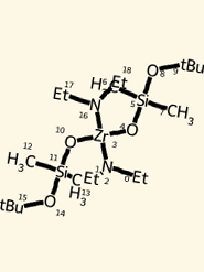 CC[N](CC)[Zr]([O][Si](C)(C)OC(C)(C)C)([O][Si](C)(C)OC(C)(C)C)[N](CC)CC